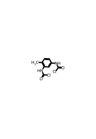 Cc1ccc(NC(=O)Cl)cc1NC(=O)Cl